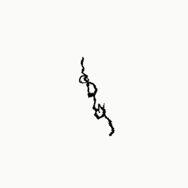 CCCCCOc1ccc(CCc2ccc(CCCC)cn2)cc1